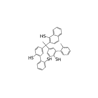 Cc1ccccc1-c1cc(C(C)(c2ccc(S)c(-c3ccccc3S)c2)c2ccc3ccccc3c2S)ccc1S